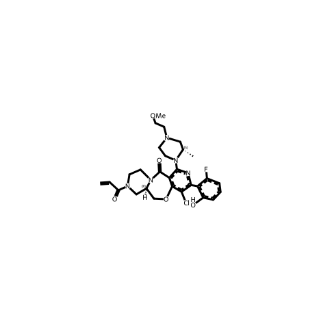 C=CC(=O)N1CCN2C(=O)c3c(N4CCN(CCOC)C[C@@H]4C)nc(-c4c(O)cccc4F)c(Cl)c3OC[C@H]2C1